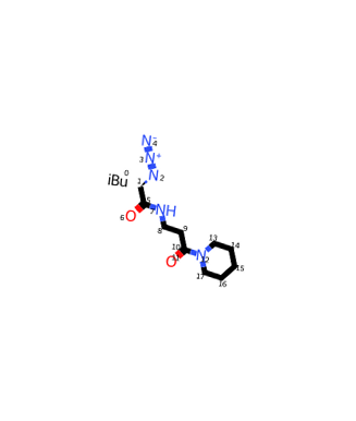 CC[C@H](C)[C@H](N=[N+]=[N-])C(=O)NCCC(=O)N1CCCCC1